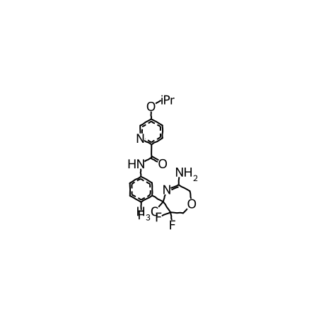 CC(C)Oc1ccc(C(=O)Nc2ccc(F)c(C3(C)N=C(N)COCC3(F)F)c2)nc1